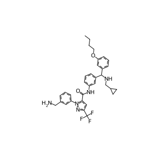 CCCCOc1cccc(C(NCC2CC2)c2cccc(NC(=O)c3cc(C(F)(F)F)nn3-c3cccc(CN)c3)c2)c1